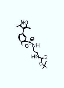 Cc1ccc(-c2c(C)noc2C)cc1S(=O)(=O)NCCNC(=O)OC(C)(C)C